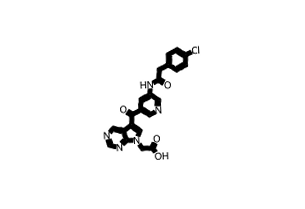 O=C(O)Cn1cc(C(=O)c2cncc(NC(=O)Cc3ccc(Cl)cc3)c2)c2cncnc21